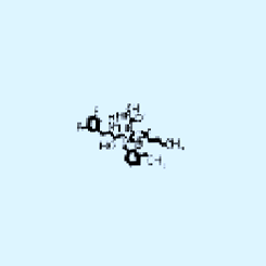 CCCCC(F)(F)C[C@@H](NC(=O)NC)C(=O)N(Cc1cccc(CC)c1)C[C@@H](O)[C@@H](N)Cc1cc(F)cc(F)c1